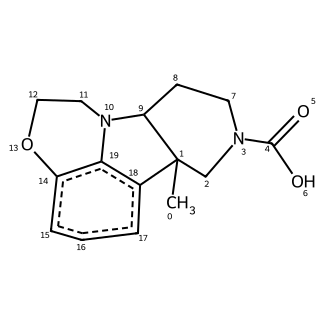 CC12CN(C(=O)O)CCC1N1CCOc3cccc2c31